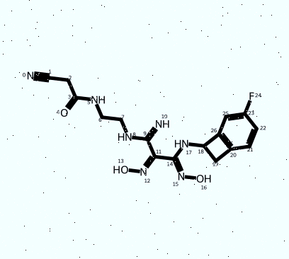 N#CCC(=O)NCCNC(=N)C(=N\O)/C(=N/O)NC1Cc2ccc(F)cc21